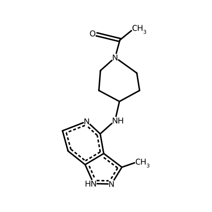 CC(=O)N1CCC(Nc2nccc3[nH]nc(C)c23)CC1